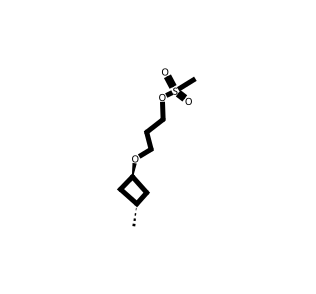 CS(=O)(=O)OCCCO[C@H]1C[C@H](C)C1